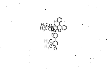 Cc1c(-c2ccc(NC(=O)[C@@H](NC(=O)OC(C)(C)C)C(c3ccccc3)c3ccccc3)nc2)ccc(=O)n1C